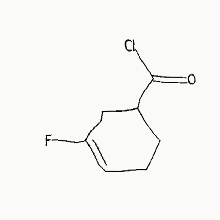 O=C(Cl)C1CCC=C(F)C1